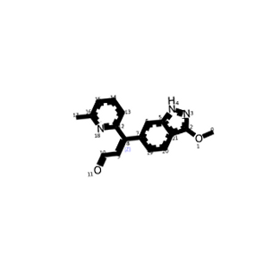 COc1n[nH]c2cc(/C(=C/C=O)c3cccc(C)n3)ccc12